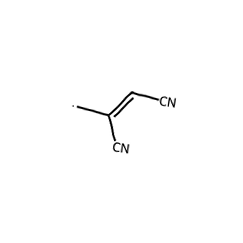 [CH2]/C(C#N)=C/C#N